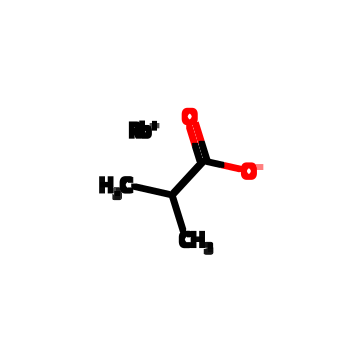 CC(C)C(=O)[O-].[Rb+]